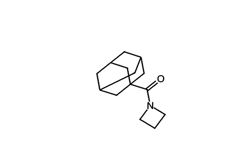 O=C(N1CCC1)C12CC3CC(CC(C3)C1)C2